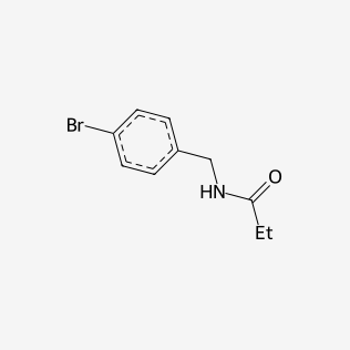 CCC(=O)NCc1ccc(Br)cc1